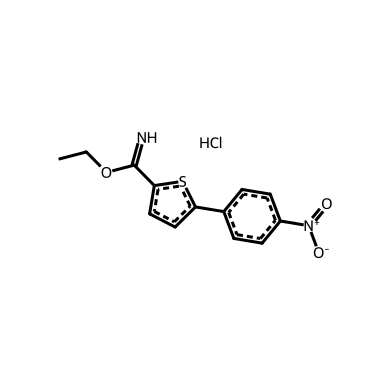 CCOC(=N)c1ccc(-c2ccc([N+](=O)[O-])cc2)s1.Cl